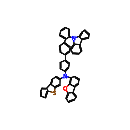 c1ccc(-n2c3ccccc3c3ccccc32)c(-c2ccc(-c3ccc(N(c4ccc5c(c4)sc4ccccc45)c4cccc5c4oc4ccccc45)cc3)cc2)c1